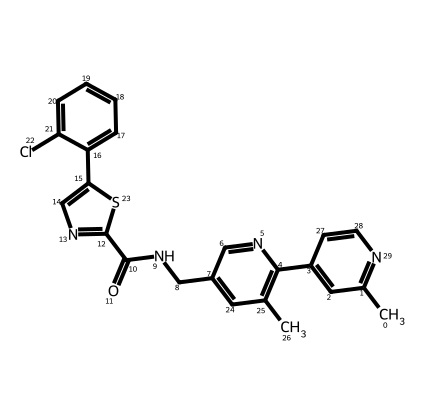 Cc1cc(-c2ncc(CNC(=O)c3ncc(-c4ccccc4Cl)s3)cc2C)ccn1